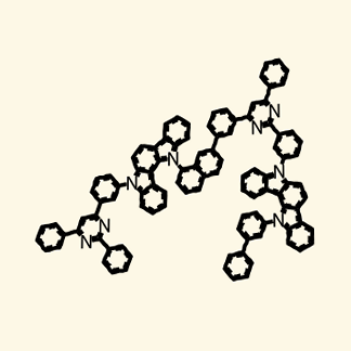 c1ccc(-c2cccc(-n3c4ccccc4c4ccc5c(c6ccccc6n5-c5cccc(-c6nc(-c7ccccc7)cc(-c7cccc(-c8ccc9cccc(-n%10c%11ccccc%11c%11ccc%12c(c%13ccccc%13n%12-c%12cccc(-c%13cc(-c%14ccccc%14)nc(-c%14ccccc%14)n%13)c%12)c%11%10)c9c8)c7)n6)c5)c43)c2)cc1